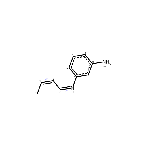 C/C=C\C=N/c1cccc(N)c1